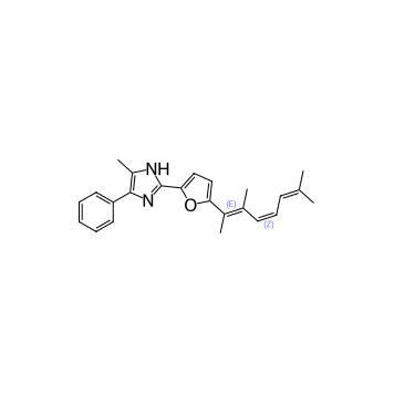 CC(C)=C/C=C\C(C)=C(/C)c1ccc(-c2nc(-c3ccccc3)c(C)[nH]2)o1